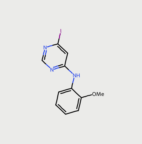 COc1ccccc1Nc1cc(I)ncn1